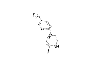 C[C@H]1CN(c2ccc(C(F)(F)F)cn2)CCN1